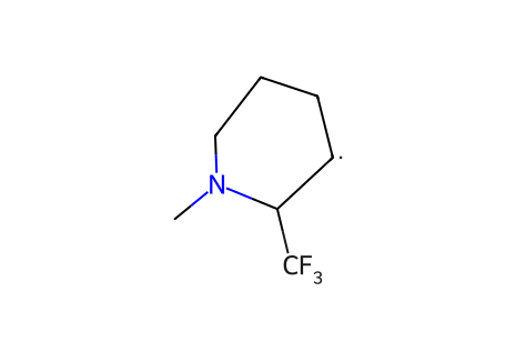 CN1CCC[CH]C1C(F)(F)F